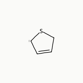 [C]1C=CCS1